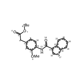 COc1cc(CC(=O)OC(C)(C)C)ccc1NC(=O)c1csc2ccccc12